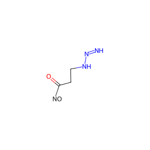 N=NNCCC(=O)N=O